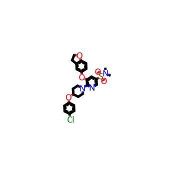 CN(C)S(=O)(=O)c1cnc(N2CCC(Oc3ccc(Cl)cc3)CC2)c(Oc2ccc3c(c2)CCO3)c1